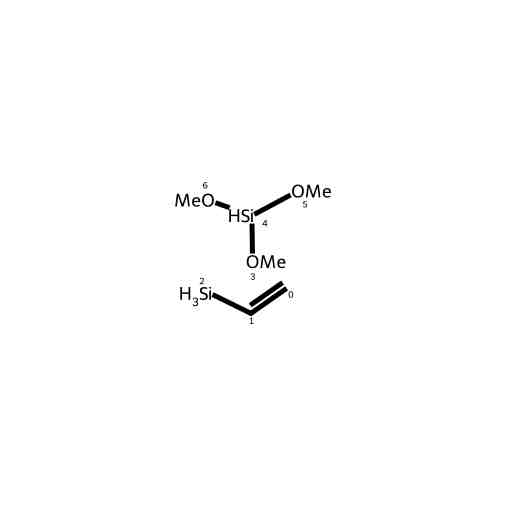 C=C[SiH3].CO[SiH](OC)OC